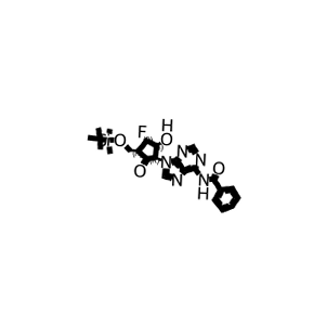 CC(C)(C)[Si](C)(C)OC[C@@H]1C(=O)[C@H](n2cnc3c(NC(=O)c4ccccc4)ncnc32)[C@H](O)[C@@H]1F